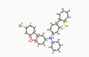 Brc1ccc2c(c1)oc1ccc(N(c3ccccc3)c3ccc4c(c3)sc3ccccc34)cc12